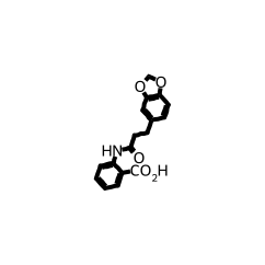 O=C(CCc1ccc2c(c1)OCO2)Nc1ccccc1C(=O)O